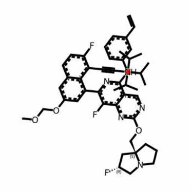 C=Cc1cccc(Nc2nc(-c3cc(OCOC)cc4ccc(F)c(C#C[Si](C(C)C)(C(C)C)C(C)C)c34)c(F)c3nc(OC[C@@]45CCCN4C[C@H](F)C5)ncc23)c1